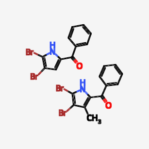 Cc1c(C(=O)c2ccccc2)[nH]c(Br)c1Br.O=C(c1ccccc1)c1cc(Br)c(Br)[nH]1